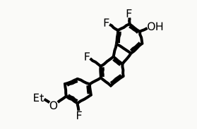 CCOc1ccc(-c2ccc3c(c2F)-c2c-3cc(O)c(F)c2F)cc1F